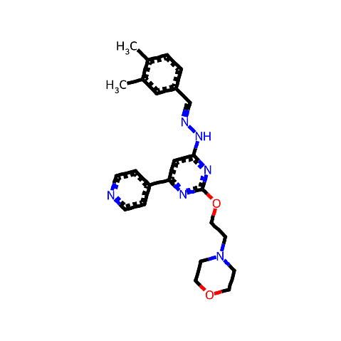 Cc1ccc(C=NNc2cc(-c3ccncc3)nc(OCCN3CCOCC3)n2)cc1C